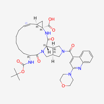 CC(C)(C)OC(=O)N[C@@H]1CCCCC/C=C\[C@H]2C[C@@]2(C(=O)O)NC(=O)[C@@H]2[C@H]3CN(C(=O)c4cc(N5CCOCC5)nc5ccccc45)C[C@H]3CN2C1=O